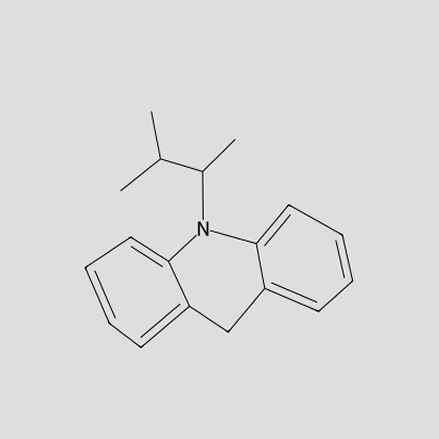 CC(C)C(C)N1c2ccccc2Cc2ccccc21